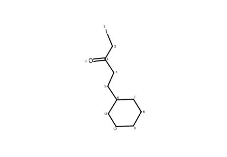 O=C(CI)CCC1CCCCC1